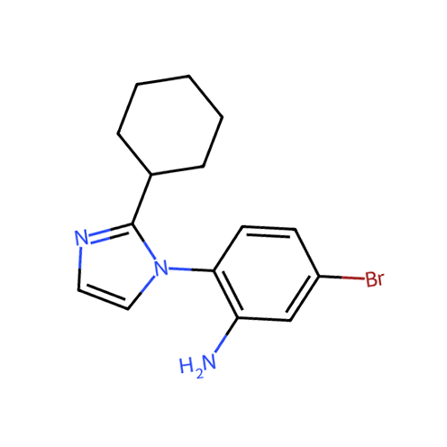 Nc1cc(Br)ccc1-n1ccnc1C1CCCCC1